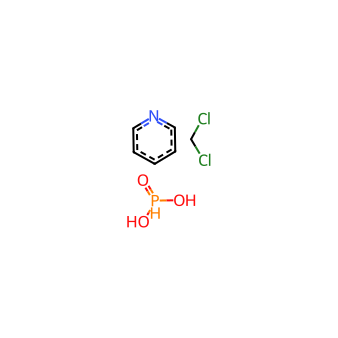 ClCCl.O=[PH](O)O.c1ccncc1